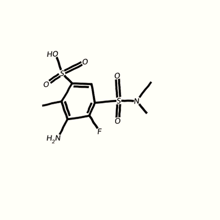 Cc1c(S(=O)(=O)O)cc(S(=O)(=O)N(C)C)c(F)c1N